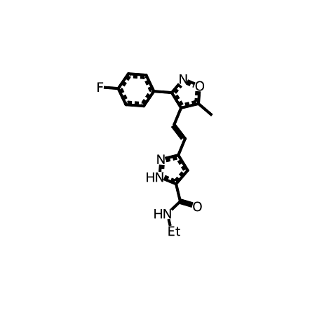 CCNC(=O)c1cc(C=Cc2c(-c3ccc(F)cc3)noc2C)n[nH]1